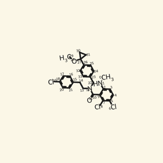 CNc1ccc(Cl)c(Cl)c1C(=O)N(CCc1ccc(Cl)cc1)Cc1ccc(C2(OC)CC2)cc1